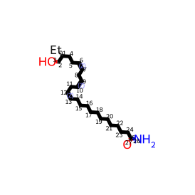 CCC(CO)CC/C=C\C/C=C\C/C=C\CCCCCCCCCCCC(N)=O